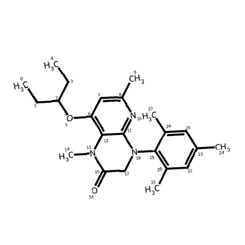 CCC(CC)Oc1cc(C)nc2c1N(C)C(=O)CN2c1c(C)cc(C)cc1C